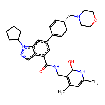 CC1=CC(C)=C(CNC(=O)c2cc(C3=CC[C@@H](CN4CCOCC4)C=C3)cc3c2cnn3C2CCCC2)C(O)N1